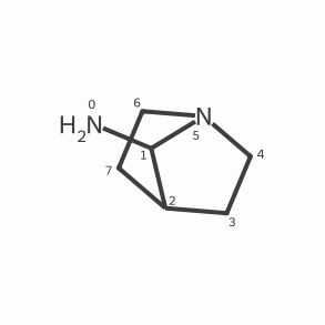 NC1C2CCN1CC2